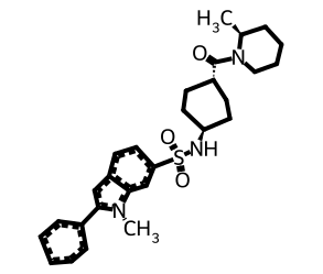 C[C@H]1CCCCN1C(=O)[C@H]1CC[C@H](NS(=O)(=O)c2ccc3cc(-c4ccccc4)n(C)c3c2)CC1